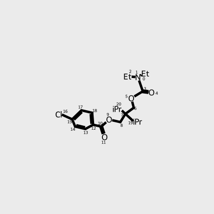 CCN(CC)C(=O)OCC(COC(=O)c1ccc(Cl)cc1)(C(C)C)C(C)C